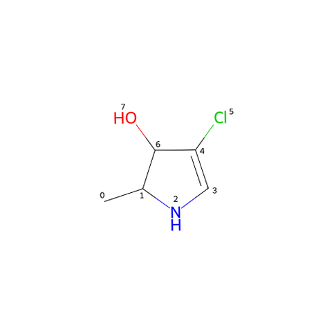 CC1NC=C(Cl)C1O